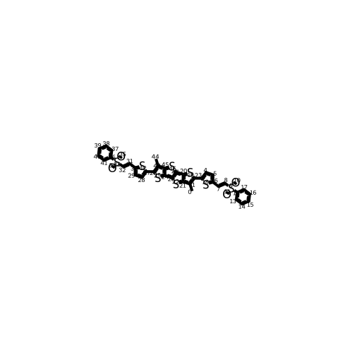 Cc1c(-c2ccc(/C=C/S(=O)(=O)c3ccccc3)s2)sc2c1sc1c3sc(-c4ccc(/C=C/S(=O)(=O)c5ccccc5)s4)c(C)c3sc21